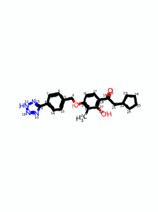 Cc1c(OCc2ccc(-c3nn[nH]n3)cc2)ccc(C(=O)CC2CCCC2)c1O